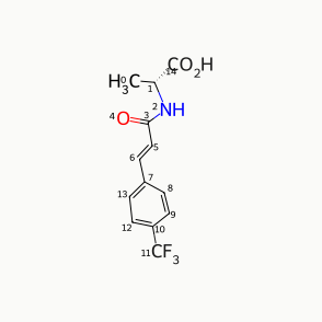 C[C@@H](NC(=O)/C=C/c1ccc(C(F)(F)F)cc1)C(=O)O